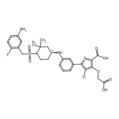 CC1(C)C[C@@H](Nc2cccc(-c3sc(C(=O)O)c(OCC(=O)O)c3Cl)c2)CCN1S(=O)(=O)Cc1cc(N)ccc1F